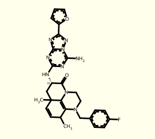 CC1C=CC2(C)C[C@H](Nc3nc(N)n4nc(-c5ccco5)nc4n3)C(=O)N3CCN(Cc4ccc(F)cc4)C1=C32